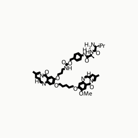 COc1cc2c(cc1OCCCCCOc1cc3c(cc1OCCCNC(=O)OCc1ccc(NC(=O)[C@H](C)NC(=O)[C@@H](N)C(C)C)cc1)C(=O)N1C=C(C)C[C@H]1C=N3)N=C[C@@H]1CC(C)=CN1C2=O